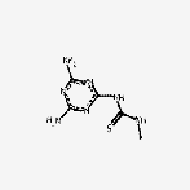 CNC(=S)Nc1nc(N)nc(N)n1